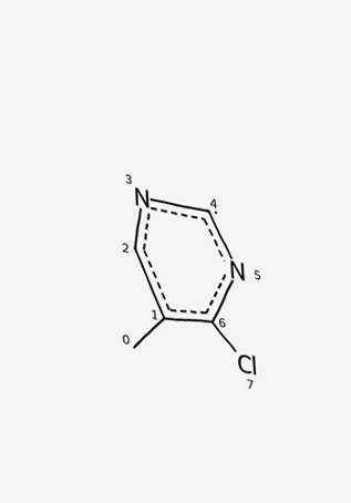 Cc1cn[c]nc1Cl